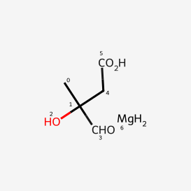 CC(O)(C=O)CC(=O)O.[MgH2]